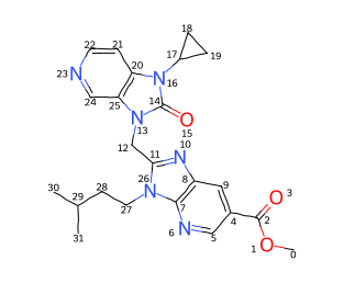 COC(=O)c1cnc2c(c1)nc(Cn1c(=O)n(C3CC3)c3ccncc31)n2CCC(C)C